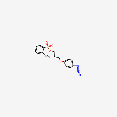 [N-]=[N+]=Nc1ccc(OCCCOS(=O)(=O)c2ccccc2[N+](=O)[O-])cc1